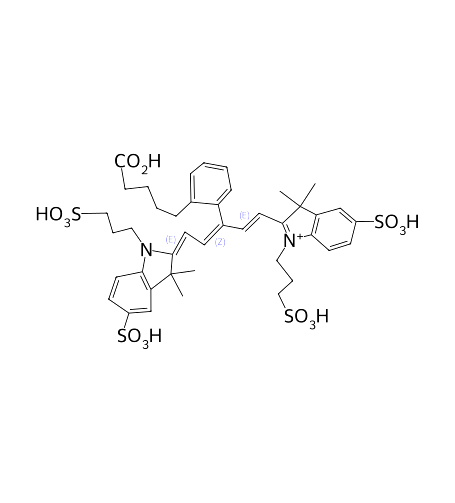 CC1(C)C(/C=C/C(=C/C=C2/N(CCCS(=O)(=O)O)c3ccc(S(=O)(=O)O)cc3C2(C)C)c2ccccc2CCCCC(=O)O)=[N+](CCCS(=O)(=O)O)c2ccc(S(=O)(=O)O)cc21